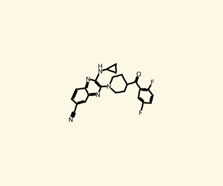 N#Cc1ccc2nc(NC3CC3)c(N3CCC(C(=O)c4cc(F)ccc4F)CC3)nc2c1